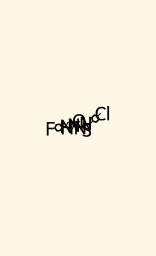 O=C(Nc1nc(-c2ccc(Cl)cc2)cs1)N1CCN(c2ccc(F)cc2)CC1